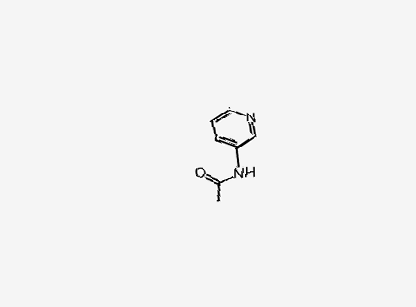 CC(=O)Nc1cc[c]nc1